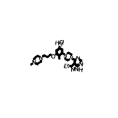 CCc1n[nH]c2ncnc(N3CCN(c4cc(Cl)cc(OCCCN5CCN(C)CC5)c4C)CC3)c12.Cl